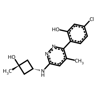 Cc1cc(N[C@H]2C[C@@](C)(O)C2)nnc1-c1ccc(Cl)cc1O